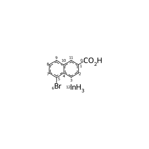 O=C(O)c1ccc2c(Br)cccc2c1.[InH3]